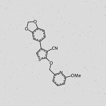 COc1cccc(COc2scc(-c3ccc4c(c3)OCO4)c2C#N)n1